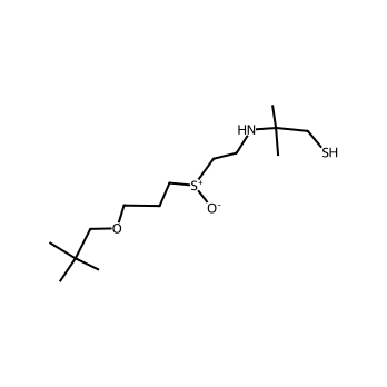 CC(C)(C)COCCC[S+]([O-])CCNC(C)(C)CS